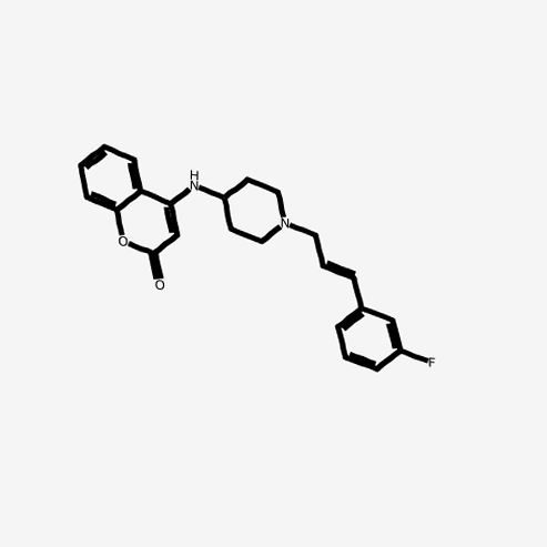 O=c1cc(NC2CCN(C/C=C/c3cccc(F)c3)CC2)c2ccccc2o1